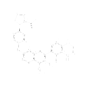 CC(=O)N1CCC[C@@H]1c1ccc(Nc2ncc3c(N)c(F)c(-c4cnc5c(c4C)NCCO5)cc3n2)cc1